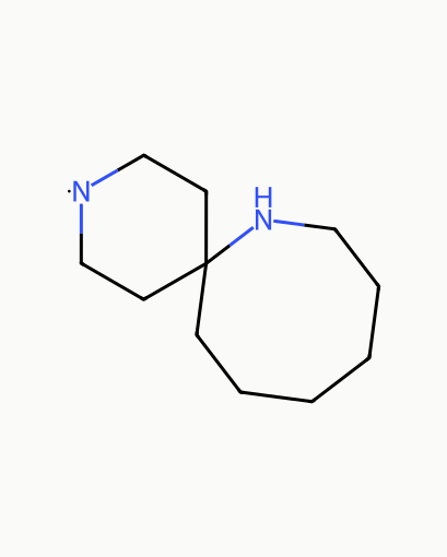 C1CCCC2(CC[N]CC2)NCC1